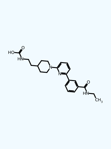 CCNC(=O)c1cccc(-c2cccc(N3CCC(CCNC(=O)O)CC3)n2)c1